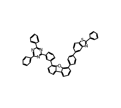 c1ccc(-c2nc(-c3ccccc3)nc(-c3cccc(-c4cccc5c4oc4c(-c6ccc(-c7ccc8sc(-c9ccccc9)nc8c7)cc6)cccc45)c3)n2)cc1